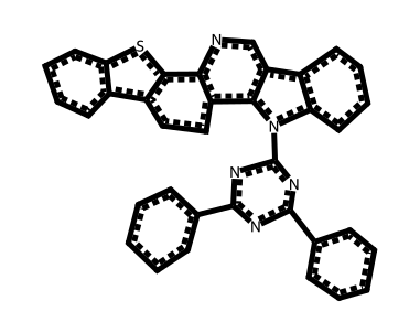 c1ccc(-c2nc(-c3ccccc3)nc(-n3c4ccccc4c4cnc5c(ccc6c7ccccc7sc65)c43)n2)cc1